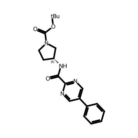 CC(C)(C)OC(=O)N1CC[C@@H](NC(=O)c2ncc(-c3ccccc3)cn2)C1